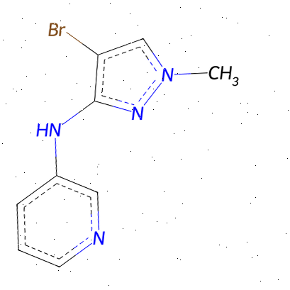 Cn1cc(Br)c(Nc2cccnc2)n1